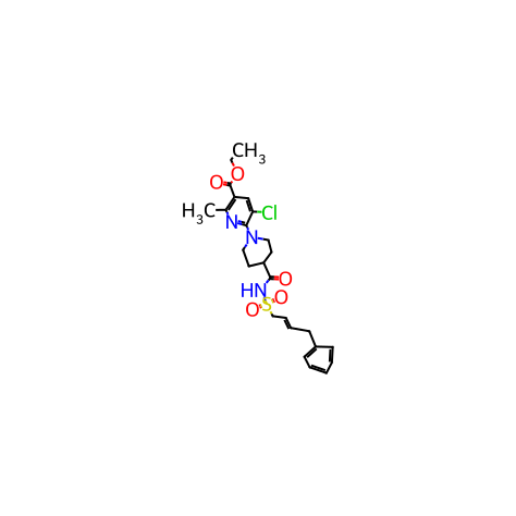 CCOC(=O)c1cc(Cl)c(N2CCC(C(=O)NS(=O)(=O)CC=CCc3ccccc3)CC2)nc1C